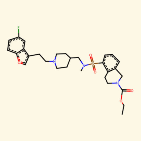 CCOC(=O)N1CCc2c(cccc2S(=O)(=O)N(C)CC2CCN(CCc3coc4ccc(F)cc34)CC2)C1